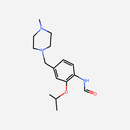 CC(C)Oc1cc(CN2CCN(C)CC2)ccc1NC=O